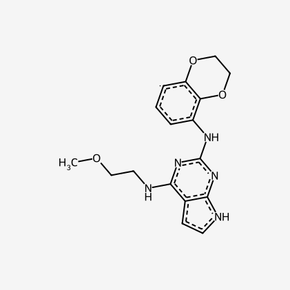 COCCNc1nc(Nc2cc[c]c3c2OCCO3)nc2[nH]ccc12